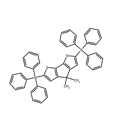 CC1(C)c2cc([Si](c3ccccc3)(c3ccccc3)c3ccccc3)sc2-c2sc([Si](c3ccccc3)(c3ccccc3)c3ccccc3)cc21